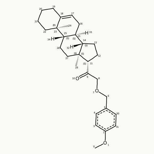 COc1ccc(COCC(=O)[C@H]2CC[C@H]3[C@@H]4CC=C5CCCC[C@]5(C)[C@H]4CC[C@]23C)cc1